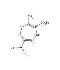 CCOC(=O)C1=C(C)CCC(C(F)F)=NN1